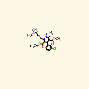 CCOC(=O)C1=C(COCCN(C)C)NC(C)=C(C(=O)OC)C1c1cccc(Cl)c1Cl